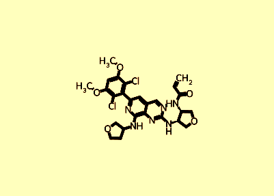 C=CC(=O)N[C@H]1COC[C@H]1Nc1ncc2cc(-c3c(Cl)c(OC)cc(OC)c3Cl)nc(NC3CCOC3)c2n1